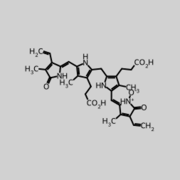 C=CC1=C(C)/C(=C/c2[nH]c(Cc3[nH]c(/C=C4\NC(=O)C(C)=C4C=C)c(C)c3CCC(=O)O)c(CCC(=O)O)c2C)[NH+]([O-])C1=O